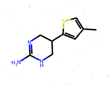 Cc1csc(C2CN=C(N)NC2)c1